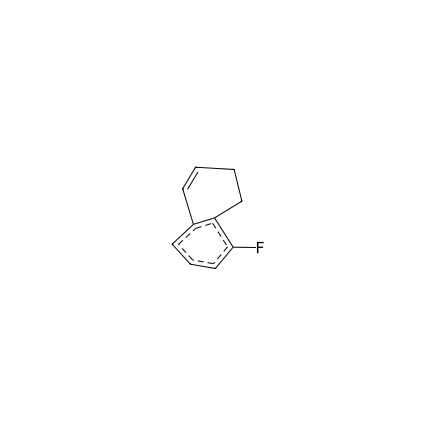 Fc1cccc2c1CCC=C2